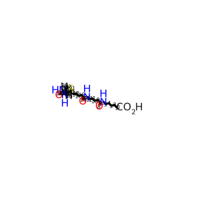 O=C(O)CCCCCNC(=O)CCCCNC(=O)CCCC[C@@H]1SC[C@@H]2NC(=O)N[C@@H]21